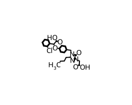 CCCCc1nn(CC(=O)O)c(=O)n1Cc1ccc(OC(C(=O)O)c2ccccc2Cl)cc1